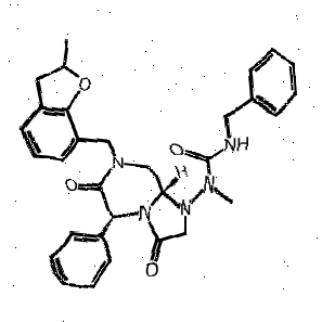 CC1Cc2cccc(CN3C[C@H]4N(C(=O)CN4N(C)C(=O)NCc4ccccc4)[C@@H](c4ccccc4)C3=O)c2O1